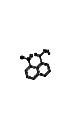 NC(=S)c1cccc2cccc([N+](=O)[O-])c12